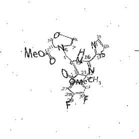 COC(=O)C1=C(CN2CCOC[C@H]2C(=O)OC)NC(c2nccs2)=N[C@@]1(C)c1ccc(F)c(F)c1